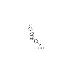 O=C(O)[C@H]1CC1c1ccc(NCc2ccc(-c3ccc(C(F)(F)F)cc3)o2)cc1